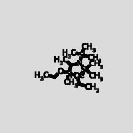 CCO[Si](C)(OCC)C(C)N([Si](C)(C)C)[Si](C)(C)C